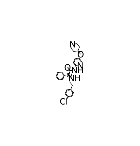 CN1CCC(Oc2ccc(NC(=O)[C@H](NCCc3ccc(Cl)cc3)c3ccccc3)nc2)CC1